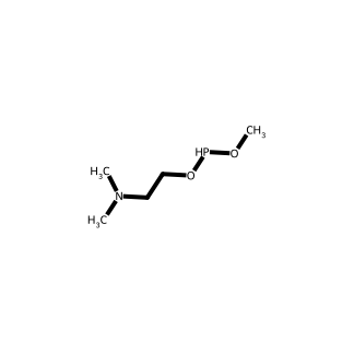 COPOCCN(C)C